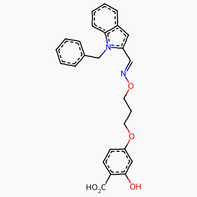 O=C(O)c1ccc(OCCCON=Cc2cc3ccccc3n2Cc2ccccc2)cc1O